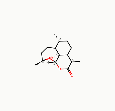 C[C@@H]1CCC2[C@@H](C)C(=O)O[C@@H]3O[C@@]4(C)CCC1[C@@]23OO4